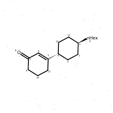 CCCCCC[C@H]1CC[C@H](C2=CC(=O)CCC2)CC1